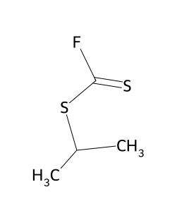 CC(C)SC(F)=S